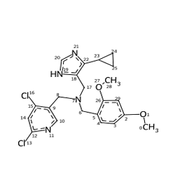 COc1ccc(CN(Cc2cnc(Cl)cc2Cl)Cc2[nH]cnc2C2CC2)c(OC)c1